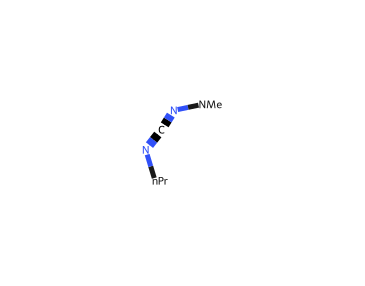 CCCN=C=NNC